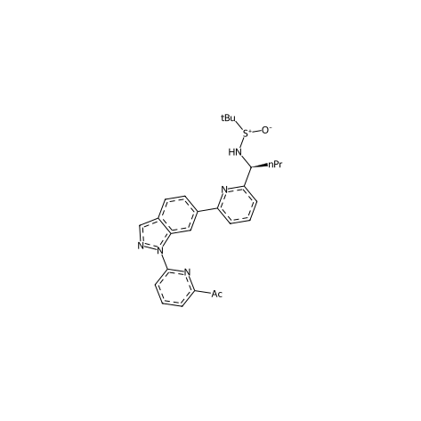 CCC[C@H](N[S+]([O-])C(C)(C)C)c1cccc(-c2ccc3cnn(-c4cccc(C(C)=O)n4)c3c2)n1